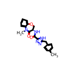 Cc1ccc(Cc2nnc(C(=O)N[C@H]3COc4ccccc4N(C)C3=O)[nH]2)cc1